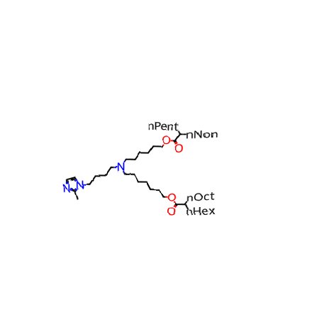 CCCCCCCCCC(CCCCC)C(=O)OCCCCCCN(CCCCCCCOC(=O)C(CCCCCC)CCCCCCCC)CCCCn1ccnc1C